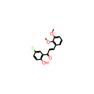 COc1cccc(C=CC(=O)c2cc(F)ccc2O)c1OC